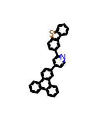 c1ccc2c(c1)sc1ccc(-c3cc(-c4ccc5c6ccccc6c6ccccc6c5c4)ccn3)cc12